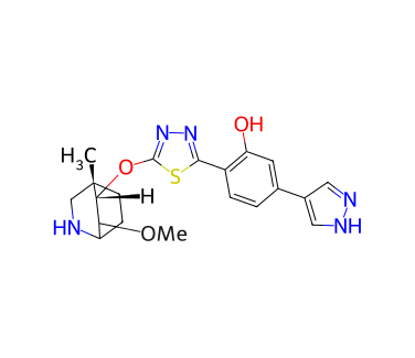 COC1C2CC[C@@](C)(CN2)[C@@H]1Oc1nnc(-c2ccc(-c3cn[nH]c3)cc2O)s1